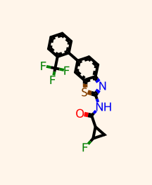 O=C(Nc1nc2ccc(-c3ccccc3C(F)(F)F)cc2s1)C1CC1F